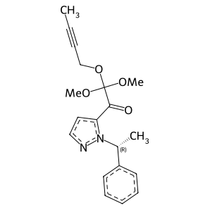 CC#CCOC(OC)(OC)C(=O)c1ccnn1[C@H](C)c1ccccc1